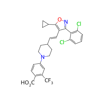 O=C(O)c1ccc(N2CCC(C=Cc3c(-c4c(Cl)cccc4Cl)noc3C3CC3)CC2)cc1C(F)(F)F